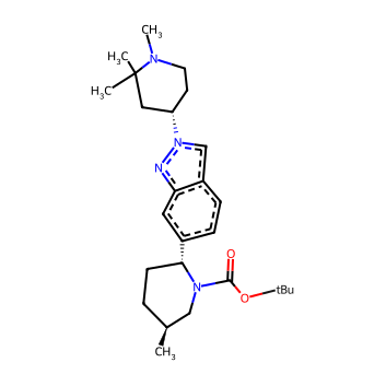 C[C@H]1CC[C@H](c2ccc3cn([C@H]4CCN(C)C(C)(C)C4)nc3c2)N(C(=O)OC(C)(C)C)C1